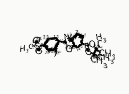 CC1(C)OB(c2ccc3nc(-c4ccc(S(C)(=O)=O)cc4F)oc3c2)OC1(C)C